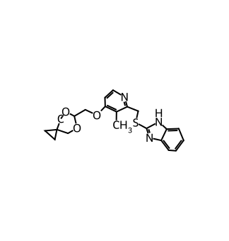 Cc1c(OCC2OCC3(CC3)CO2)ccnc1CSc1nc2ccccc2[nH]1